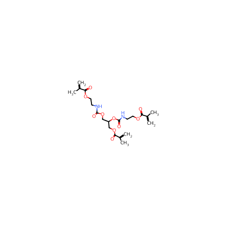 C=C(C)C(=O)OCCNC(=O)OCC(COC(=O)C(=C)C)OC(=O)NCCOC(=O)C(=C)C